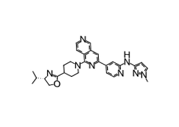 CC(C)[C@H]1COC(C2CCN(c3nc(-c4ccnc(Nc5ccn(C)n5)c4)cc4cnccc34)CC2)=N1